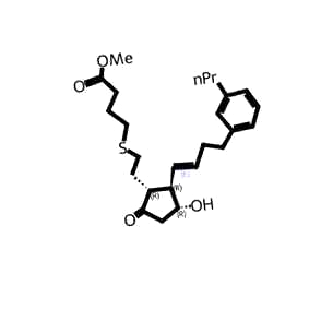 CCCc1cccc(CC/C=C/[C@H]2[C@H](O)CC(=O)[C@@H]2CCSCCCC(=O)OC)c1